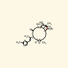 C=CC1[C@H]2CCC[C@@]3(C)O[C@H]3C[C@@H](/C(C)=C/c3csc(C)n3)OC(=O)C[C@H](O)[C@]1(C)C(O)[C@H](C)[C@H]2O